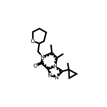 Cc1c(C)n2c(C3(C)CC3)nnc2c(=O)n1CC1CCCCO1